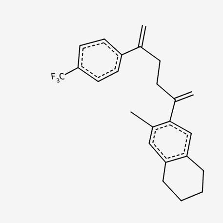 C=C(CCC(=C)c1cc2c(cc1C)CCCC2)c1ccc(C(F)(F)F)cc1